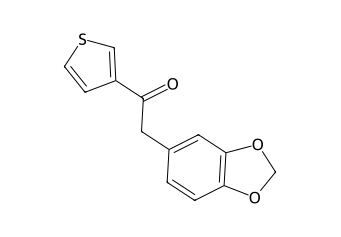 O=C(Cc1ccc2c(c1)OCO2)c1ccsc1